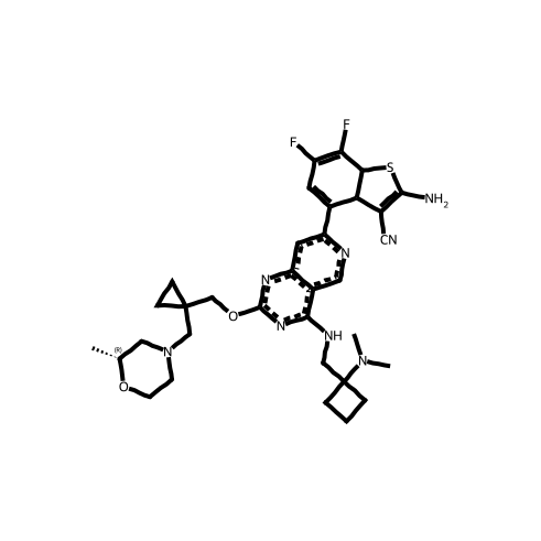 C[C@@H]1CN(CC2(COc3nc(NCC4(N(C)C)CCC4)c4cnc(C5=CC(F)=C(F)C6SC(N)=C(C#N)C56)cc4n3)CC2)CCO1